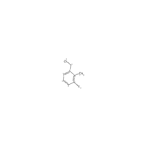 Cc1c(I)cccc1CCl